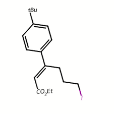 CCOC(=O)/C=C(\CCCI)c1ccc(C(C)(C)C)cc1